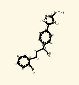 CCCCCCCCc1noc(-c2ccc(C([NH])CCc3ccccc3F)cc2)n1